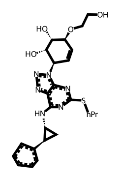 CCCSc1nc(N[C@@H]2C[C@H]2c2ccccc2)c2nnn([C@@H]3C=C[C@H](OCCO)[C@@H](O)[C@H]3O)c2n1